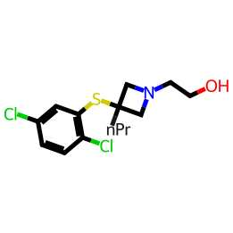 CCCC1(Sc2cc(Cl)ccc2Cl)CN(CCO)C1